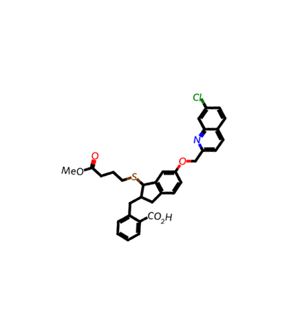 COC(=O)CCCSC1c2cc(OCc3ccc4ccc(Cl)cc4n3)ccc2CC1Cc1ccccc1C(=O)O